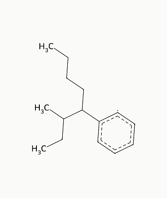 CCCCC(c1[c]cccc1)C(C)CC